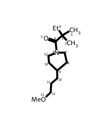 CCC(C)(C)C(=O)N1CCC(CCCOC)CC1